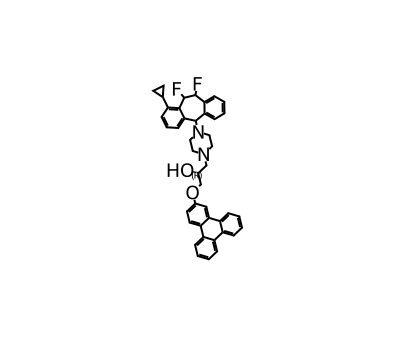 O[C@@H](COc1ccc2c3ccccc3c3ccccc3c2c1)CN1CCN(C2c3ccccc3C(F)C(F)c3c(C4CC4)cccc32)CC1